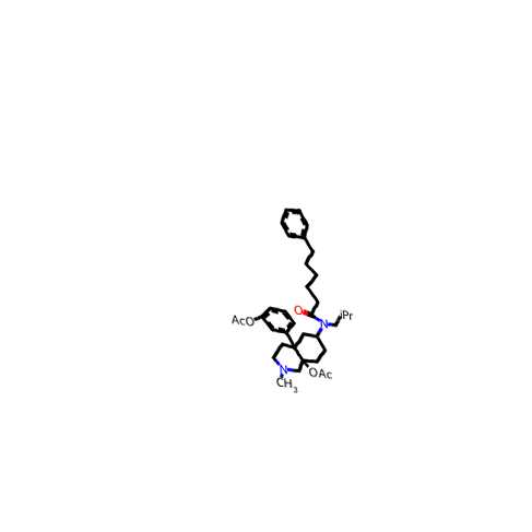 CC(=O)Oc1cccc(C23CCN(C)CC2(OC(C)=O)CCC(N(CC(C)C)C(=O)CCCCCc2ccccc2)C3)c1